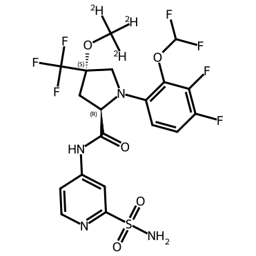 [2H]C([2H])([2H])O[C@@]1(C(F)(F)F)C[C@H](C(=O)Nc2ccnc(S(N)(=O)=O)c2)N(c2ccc(F)c(F)c2OC(F)F)C1